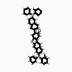 Cc1ccccc1N(c1ccccc1)c1ccc2cc3c(cc2c1)oc1cc2c(cc13)oc1cc3cc(N(c4ccccc4)c4ccccc4C)ccc3cc12